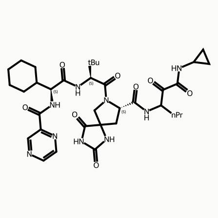 CCCC(NC(=O)[C@@H]1CC2(CN1C(=O)[C@@H](NC(=O)[C@@H](NC(=O)c1cnccn1)C1CCCCC1)C(C)(C)C)NC(=O)NC2=O)C(=O)C(=O)NC1CC1